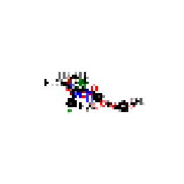 C=CCCC1(N[S+]([O-])C(C)(C)C)COc2c1cc(C(O)(CNC(=O)c1ccc(OCCOCc3ccc(OC)cc3)c(OC)c1)C(F)(F)F)nc2-c1ccc(F)cc1